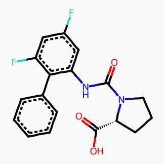 O=C(O)[C@H]1CCCN1C(=O)Nc1cc(F)cc(F)c1-c1ccccc1